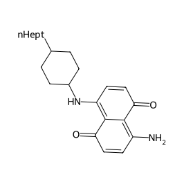 CCCCCCCC1CCC(NC2=C3C(=O)C=CC(N)=C3C(=O)C=C2)CC1